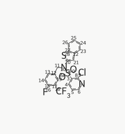 O=S(=O)(c1cccnc1Cl)N(Cc1ccc(F)c(C(F)(F)F)c1)c1cc2ccccc2s1